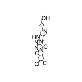 Cn1c(Nc2ccnc(C3CC(CO)C3)c2)nc2c1c(=O)n(Cc1ccc(Cl)c(Cl)c1)c(=O)n2C